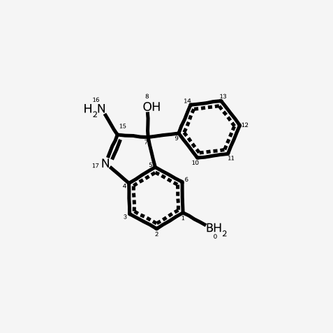 Bc1ccc2c(c1)C(O)(c1ccccc1)C(N)=N2